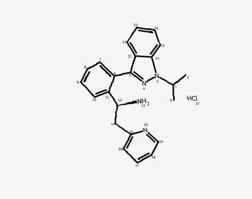 CC(C)n1nc(-c2ccccc2[C@@H](N)Cc2ccccn2)c2ccccc21.Cl